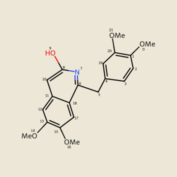 COc1ccc(Cc2nc(O)cc3cc(OC)c(OC)cc23)cc1OC